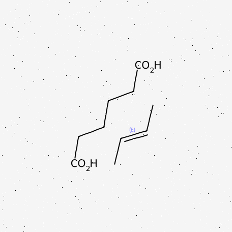 C/C=C/C.O=C(O)CCCCC(=O)O